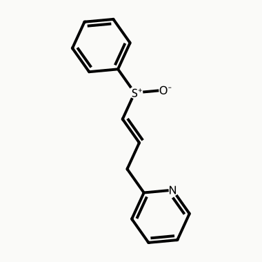 [O-][S+](C=CCc1ccccn1)c1ccccc1